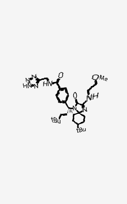 COCCNC1=NC2(CCC(C(C)(C)C)CC2)N([C@H](CCC(C)(C)C)c2ccc(C(=O)NCc3nn[nH]n3)cc2)C1=O